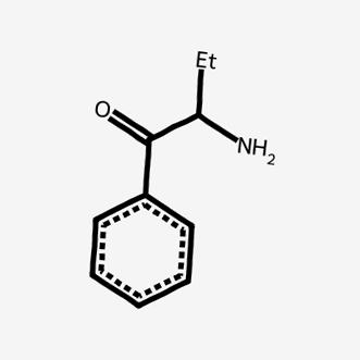 CCC(N)C(=O)c1ccccc1